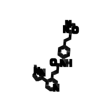 Cn1ccc(-c2ccncc2C=CC(=O)Nc2ccc(CCc3nnco3)cc2)n1